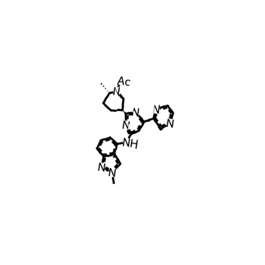 CC(=O)N1C[C@H](c2nc(Nc3cccc4nn(C)cc34)cc(-c3cnccn3)n2)CC[C@@H]1C